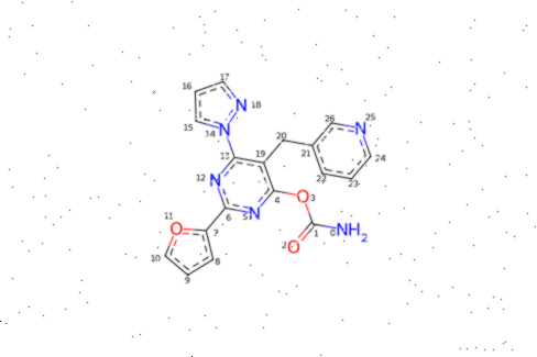 NC(=O)Oc1nc(-c2ccco2)nc(-n2cccn2)c1Cc1cccnc1